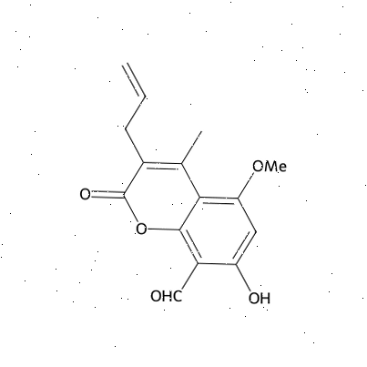 C=CCc1c(C)c2c(OC)cc(O)c(C=O)c2oc1=O